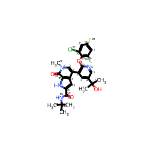 Cn1cc(-c2cc(C(C)(C)O)cnc2Oc2c(Cl)cc(F)cc2Cl)c2cc(C(=O)NC(C)(C)C)[nH]c2c1=O